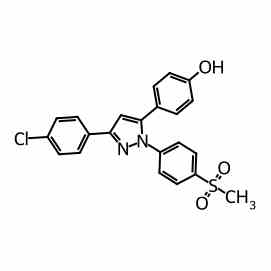 CS(=O)(=O)c1ccc(-n2nc(-c3ccc(Cl)cc3)cc2-c2ccc(O)cc2)cc1